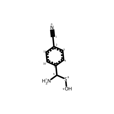 N#Cc1ccc(C(N)SO)cc1